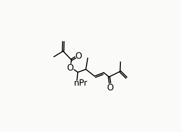 C=C(C)C(=O)C=CC(C)C(CCC)OC(=O)C(=C)C